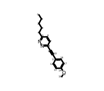 CCCCCc1ccc(C#Cc2ccc(OC)cc2)nn1